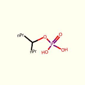 CCCC(CCC)OP(=O)(O)O